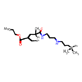 COCCOC(=O)C(CC(C)C)CC(C)(C(=O)NCCCNCCC[Si](C)(C)C(C)C)C(C)C